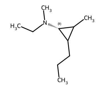 CCCC1C(C)[C@H]1N(C)CC